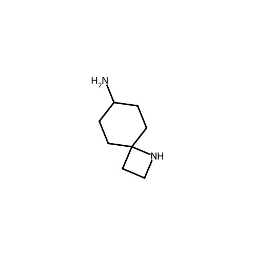 NC1CCC2(CCN2)CC1